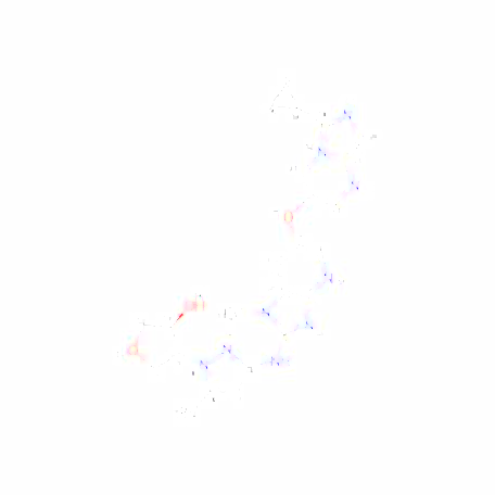 Cn1c(Nc2cc(C(C)(C)C)n([C@@H]3COC[C@H]3O)n2)nc2ncc(Oc3cnc4cnc(C5CC5)n4c3)cc21